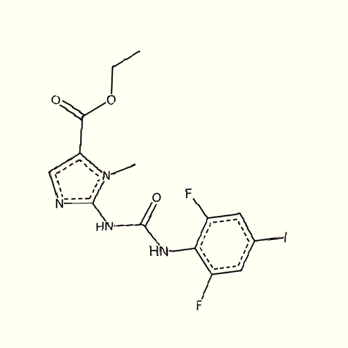 CCOC(=O)c1cnc(NC(=O)Nc2c(F)cc(I)cc2F)n1C